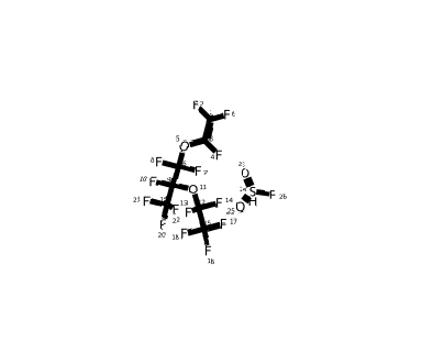 FC(F)=C(F)OC(F)(F)C(F)(OC(F)(F)C(F)(F)F)C(F)(F)F.O=[SH](=O)F